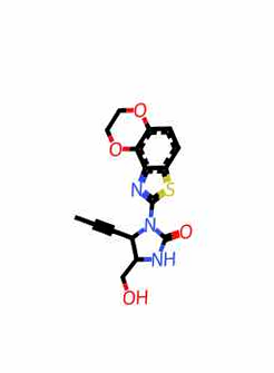 CC#CC1C(CO)NC(=O)N1c1nc2c3c(ccc2s1)OCCO3